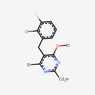 CCOc1nc(C(=O)O)nc(CC)c1Cc1cccc(F)c1Cl